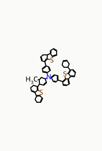 CC1CC(N(c2ccc(C3=C4Sc5ccccc5C4CC=C3)cc2)c2ccc(-c3cccc4c3sc3c(C5CC=CCC5)cccc34)cc2)C=CC1C1=c2sc3c(c2=CCC1)CCC=C3